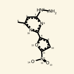 Cc1cc(NN)nc(-c2ccc([N+](=O)[O-])o2)n1